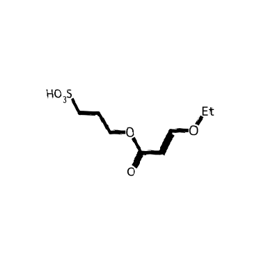 CCOC=CC(=O)OCCCS(=O)(=O)O